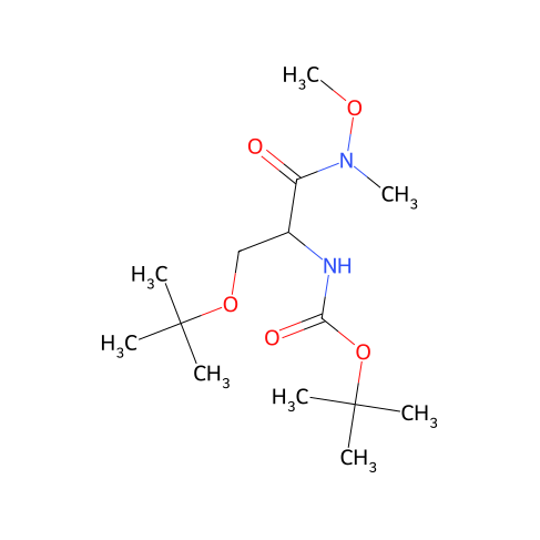 CON(C)C(=O)C(COC(C)(C)C)NC(=O)OC(C)(C)C